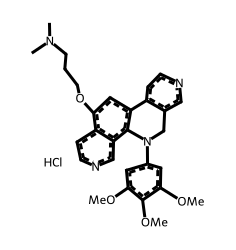 COc1cc(N2Cc3cnccc3-c3cc(OCCCN(C)C)c4ccncc4c32)cc(OC)c1OC.Cl